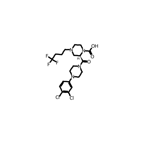 O=C([C@H]1CN(CCCC(F)(F)F)CCN1C(=O)O)N1CCN(c2ccc(Cl)c(Cl)c2)CC1